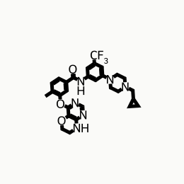 Cc1ccc(C(=O)Nc2cc(N3CCN(CC4CC4)CC3)cc(C(F)(F)F)c2)cc1Oc1ncnc2c1OCCN2